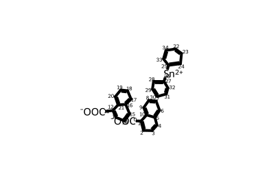 O=C([O-])c1cccc2ccccc12.O=C([O-])c1cccc2ccccc12.c1cc[c]([Sn+2][c]2ccccc2)cc1